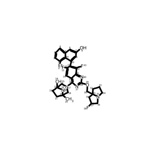 CCc1cccc2cc(O)cc(-c3c(F)cc4c(N5CC6(C)CCC(C)(C5)N6)nc(OCC56CCCN5CC(F)C6)nc4c3F)c12